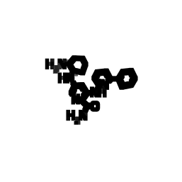 NC(=O)c1ncc(N[C@@H]2CCCC[C@@H]2N)cc1Nc1cccc(-c2ccccc2)n1